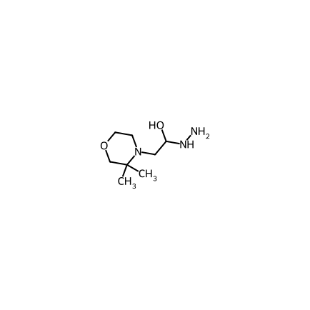 CC1(C)COCCN1CC(O)NN